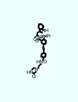 CC(C)Oc1ccc(C#Cc2ccc(C(=O)NCCCN3CCNC(=O)C3)cc2)cc1C(=O)N[C@@H](CO)Cc1c[nH]c2ccccc12